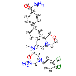 CN(C(=O)CN(CN)c1ccc(Cl)c(Cl)c1)C(CN1CCOCC1)c1ccc(-c2ccc(C(N)=O)cc2)cc1